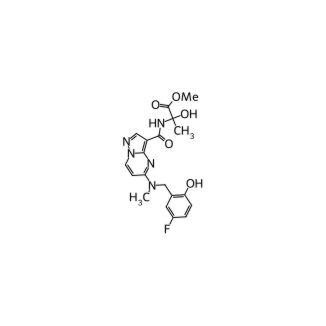 COC(=O)C(C)(O)NC(=O)c1cnn2ccc(N(C)Cc3cc(F)ccc3O)nc12